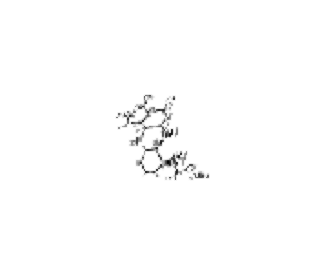 CC(C)(C)OC(=O)N[C@H]1CCCC[C@H]1Nc1nc(Cl)c2c(c1F)CNC2=O